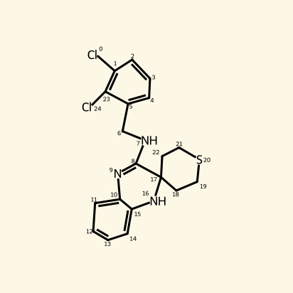 Clc1cccc(CNC2=Nc3ccccc3NC23CCSCC3)c1Cl